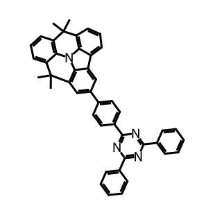 CC1(C)c2cccc3c2-n2c4c1cccc4c1cc(-c4ccc(-c5nc(-c6ccccc6)nc(-c6ccccc6)n5)cc4)cc(c12)C3(C)C